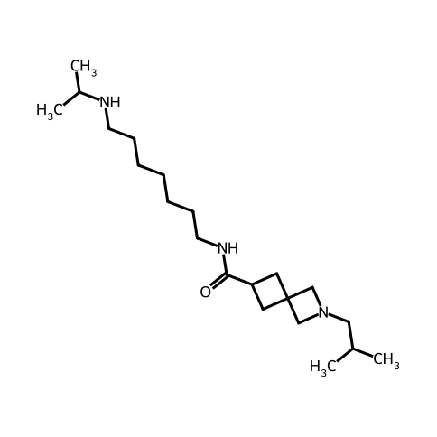 CC(C)CN1CC2(CC(C(=O)NCCCCCCCNC(C)C)C2)C1